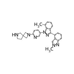 Cc1cccc2c(-c3cccc4nn(C)cc34)nn(-c3ccc(N4CC5(CCNC5)C4)nc3)c12